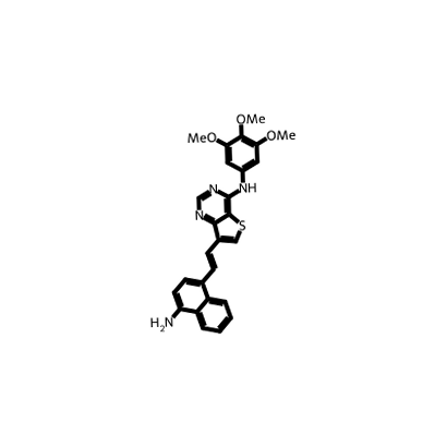 COc1cc(Nc2ncnc3c(C=Cc4ccc(N)c5ccccc45)csc23)cc(OC)c1OC